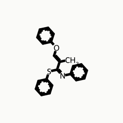 CC(=C\Oc1ccccc1)/C(=N\c1ccccc1)Sc1ccccc1